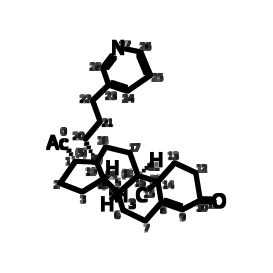 CC(=O)[C@H]1CC[C@H]2[C@@H]3CCC4=CC(=O)CC[C@@]4(C)[C@@H]3CC[C@]12CCCc1cccnc1